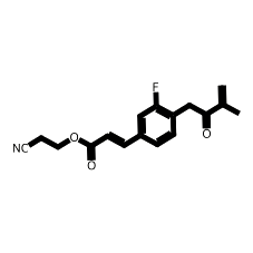 C=C(C)C(=O)Cc1ccc(/C=C/C(=O)OCCC#N)cc1F